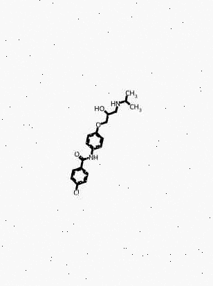 CC(C)NCC(O)COc1ccc(NC(=O)c2ccc(Cl)cc2)cc1